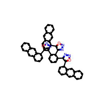 c1cc(-c2nnoc2-c2cccc3cc4ccccc4cc23)c(-c2nnoc2-c2cccc3cc4ccccc4cc23)c(-c2nnoc2-c2cccc3cc4ccccc4cc23)c1